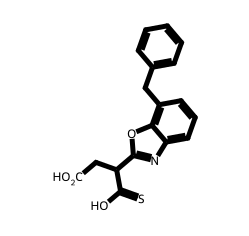 O=C(O)CC(C(O)=S)c1nc2cccc(Cc3ccccc3)c2o1